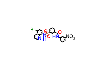 O=C(Nc1cccc([N+](=O)[O-])c1)c1cccc(S(=O)(=O)Nc2ccc(Br)c3cccnc23)c1